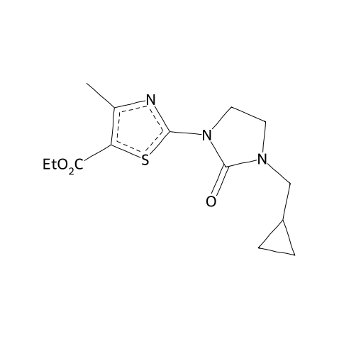 CCOC(=O)c1sc(N2CCN(CC3CC3)C2=O)nc1C